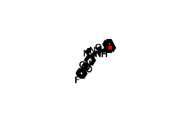 O=C(CC12CC3CC(CC(C3)C1)C2)Nc1ncnc2c1CCN(S(=O)(=O)c1ccc(F)cc1)C2